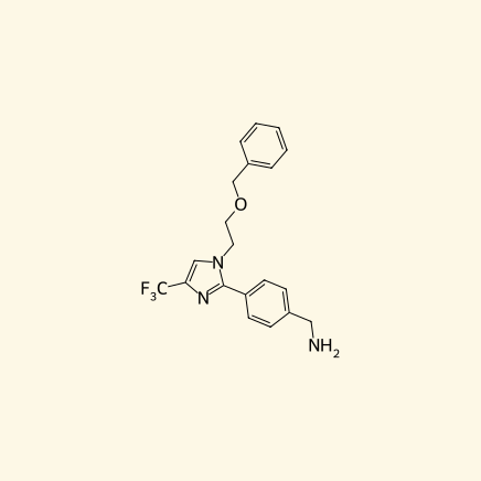 NCc1ccc(-c2nc(C(F)(F)F)cn2CCOCc2ccccc2)cc1